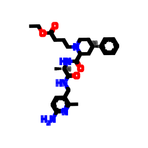 CCOC(=O)CCCN1CC[C@H](c2ccccc2)CC1C(=O)N[C@@H](C)C(=O)NCc1ccc(N)nc1C